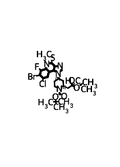 CSc1nc2c(F)c(Br)c(Cl)cc2c2c1ncn2[C@H]1CCN(C(=O)OC(C)(C)C)[C@H](CC(=O)OC(C)(C)C)C1